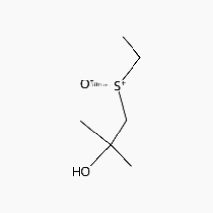 CC[S@@+]([O-])CC(C)(C)O